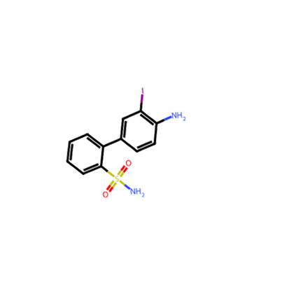 Nc1ccc(-c2ccccc2S(N)(=O)=O)cc1I